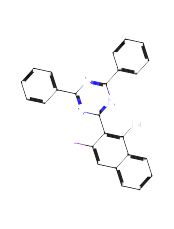 Brc1c(-c2nc(-c3ccccc3)nc(-c3ccccc3)n2)c(I)cc2ccccc12